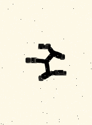 COC(=O)C(C=O)C(=O)OC